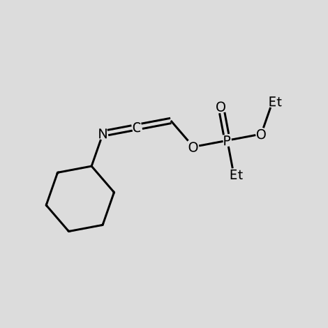 CCOP(=O)(CC)OC=C=NC1CCCCC1